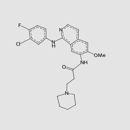 COc1cc2ccnc(Nc3ccc(F)c(Cl)c3)c2cc1NC(=O)CCN1CCCCC1